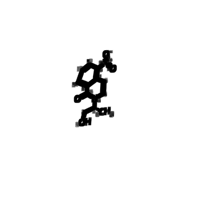 C[C@H](CO)n1ccc2c([N+](=O)[O-])cccc2c1=O